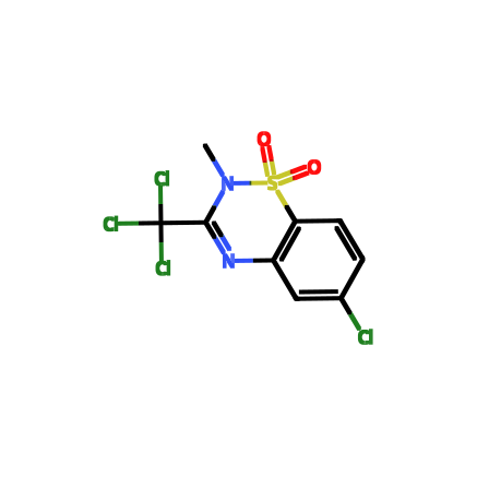 CN1C(C(Cl)(Cl)Cl)=Nc2cc(Cl)ccc2S1(=O)=O